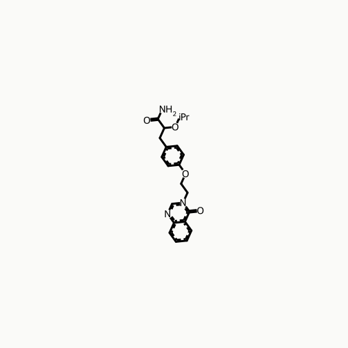 CC(C)OC(Cc1ccc(OCCn2cnc3ccccc3c2=O)cc1)C(N)=O